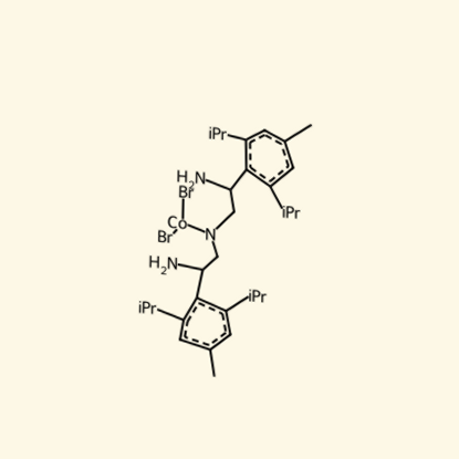 Cc1cc(C(C)C)c(C(N)C[N](CC(N)c2c(C(C)C)cc(C)cc2C(C)C)[Co]([Br])[Br])c(C(C)C)c1